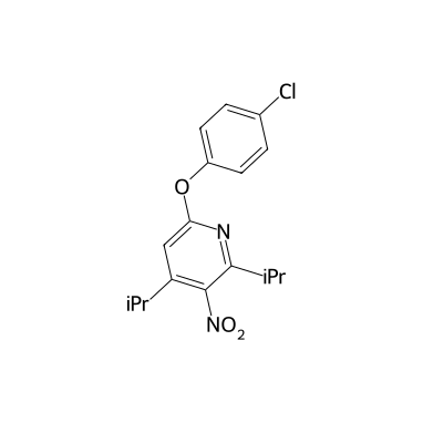 CC(C)c1cc(Oc2ccc(Cl)cc2)nc(C(C)C)c1[N+](=O)[O-]